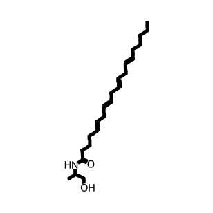 CCCCCC=CCC=CCC=CCC=CCCCC(=O)NC(C)CO